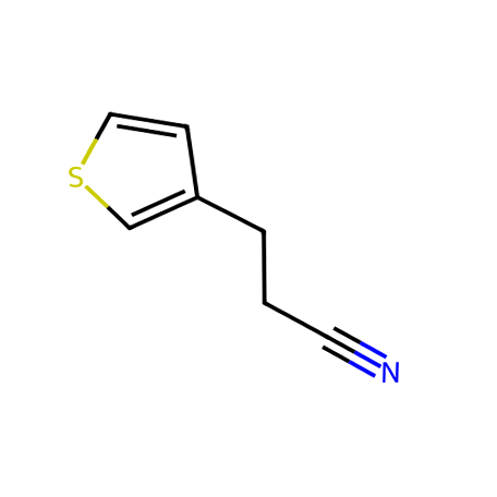 N#CCCc1ccsc1